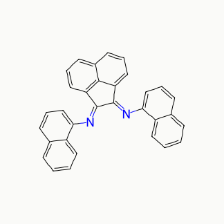 c1ccc2c(/N=C3/C(=N/c4cccc5ccccc45)c4cccc5cccc3c45)cccc2c1